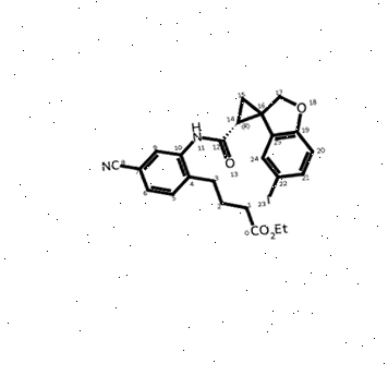 CCOC(=O)CCCc1ccc(C#N)cc1NC(=O)[C@@H]1CC12COc1ccc(I)cc12